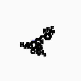 CC/C=C1/C=C(Cc2cccc(C(F)(F)F)c2F)N=C2SC(C)=C(C(C)O)N21